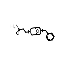 NC(=O)CCN1CC2CN(Cc3ccccc3)CC(C1)O2